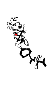 C=C(C)C(=O)NC(C)c1ccc(OS(=O)(=O)C(F)(F)C(F)(F)C(F)(F)S(=O)(=O)NS(=O)(=O)C(F)(F)F)cc1